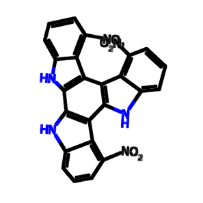 O=[N+]([O-])c1cccc2[nH]c3c4[nH]c5cccc([N+](=O)[O-])c5c4c4c([nH]c5cccc([N+](=O)[O-])c54)c3c12